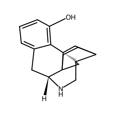 Oc1cccc2c1[C@]13CCN[C@H](C2)C12CCC(CC2)C3